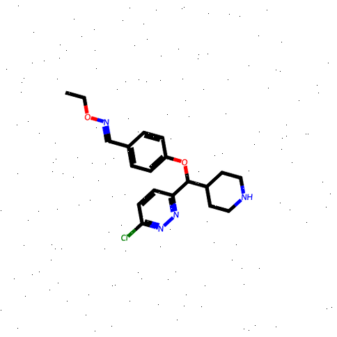 CCON=Cc1ccc(OC(c2ccc(Cl)nn2)C2CCNCC2)cc1